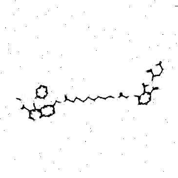 CNC(=O)c1cnc2ccc(CNC(=O)CCCCCCCCNC(=O)COc3cccc4c3C(=O)N(C3CCC(=O)NC3=O)C4=O)cc2c1Nc1ccccc1